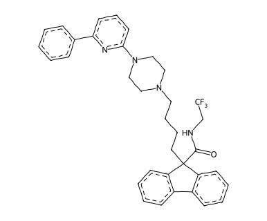 O=C(NCC(F)(F)F)C1(CCCCN2CCN(c3cccc(-c4ccccc4)n3)CC2)c2ccccc2-c2ccccc21